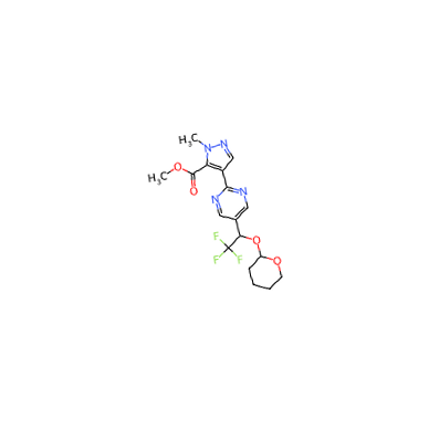 COC(=O)c1c(-c2ncc(C(OC3CCCCO3)C(F)(F)F)cn2)cnn1C